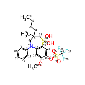 CCCCC1(C)CN(c2ccccc2)c2cc(OC)c(OS(=O)(=O)C(F)(F)F)cc2S(O)(O)C1